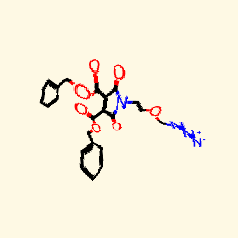 [N-]=[N+]=NCOCCN1C(=O)C(C(=O)OCc2ccccc2)=C(C(=O)OCc2ccccc2)C1=O